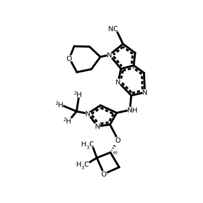 [2H]C([2H])([2H])n1cc(Nc2ncc3cc(C#N)n(C4CCOCC4)c3n2)c(O[C@@H]2COC2(C)C)n1